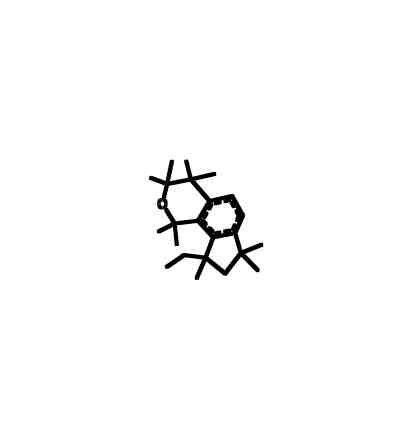 CCC1(C)CC(C)(C)c2ccc3c(c21)C(C)(C)OC(C)(C)C3(C)C